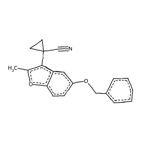 Cc1oc2ccc(OCc3ccccc3)cc2c1C1(C#N)CC1